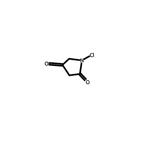 O=C1CC(=O)N(Cl)C1